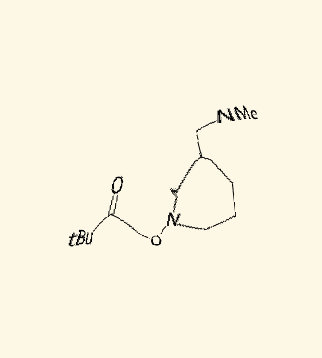 CNCC1CCCN(OC(=O)C(C)(C)C)C1